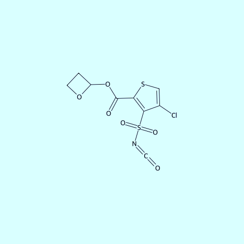 O=C=NS(=O)(=O)c1c(Cl)csc1C(=O)OC1CCO1